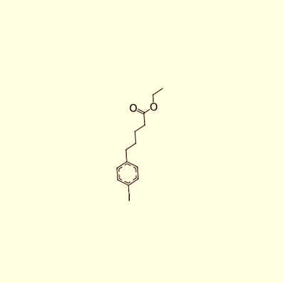 CCOC(=O)CCCCc1ccc(I)cc1